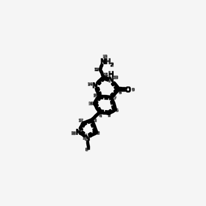 Cn1cc(-c2ccc3c(=O)[nH]c(CN)nc3c2)cn1